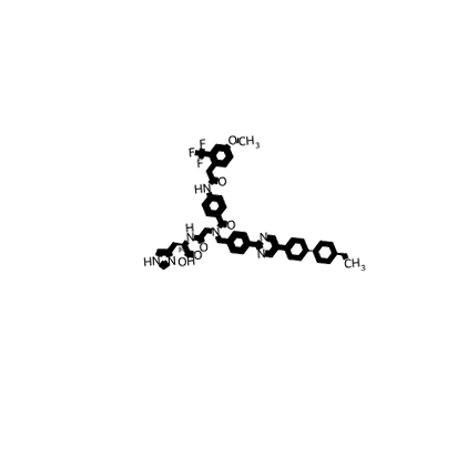 CC[C@H]1CC[C@H](C2CC=C(c3cnc(-c4ccc(CN(CC(=O)N[C@H](Cc5c[nH]cn5)C(=O)O)C(=O)c5ccc(NC(=O)Cc6ccc(OC)cc6C(F)(F)F)cc5)cc4)nc3)CC2)CC1